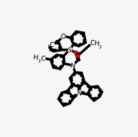 Cc1ccc2c(c1)[Si]1(c3ccccc3Oc3ccccc31)c1cc(C)ccc1N2c1cc2c3ccccc3n3c4ccccc4c(c1)c23